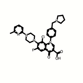 Cc1cccc(N2CCN(c3c(F)cc4c(=O)c(C(=O)O)cn(-c5ccc(CN6CCCC6)cc5)c4c3Cl)CC2)n1